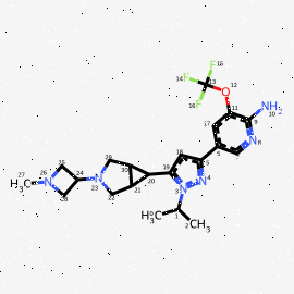 CC(C)n1nc(-c2cnc(N)c(OC(F)(F)F)c2)cc1C1C2CN(C3CN(C)C3)CC21